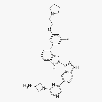 NC1CN(c2cncc(-c3ccc4[nH]nc(-c5cc6c(-c7cc(F)cc(OCCN8CCCC8)c7)cccc6[nH]5)c4c3)n2)C1